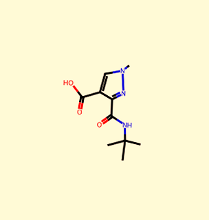 Cn1cc(C(=O)O)c(C(=O)NC(C)(C)C)n1